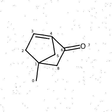 CC12CC=C(C1)C(=O)C2